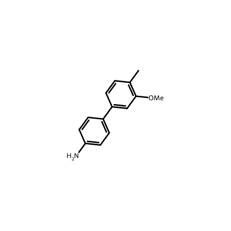 COc1cc(-c2ccc(N)cc2)ccc1C